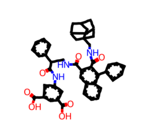 O=C(O)c1cc(NC(=O)C(CNC(=O)c2cc3ccccc3c(-c3ccccc3)c2C(=O)NCC23CC4CC(CC(C4)C2)C3)c2ccccc2)cc(C(=O)O)c1